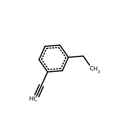 C#Cc1c[c]cc(CC)c1